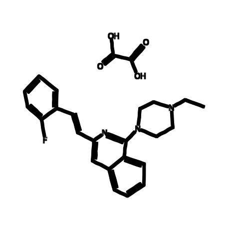 CCN1CCN(c2nc(C=Cc3ccccc3F)cc3ccccc23)CC1.O=C(O)C(=O)O